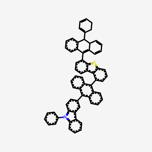 C1=CCCC(C2c3ccccc3C(c3cccc4c3sc3cccc(-c5c6ccccc6c(-c6ccc7c(c6)c6ccccc6n7-c6ccccc6)c6ccccc56)c34)=C3C=CC=CC32)=C1